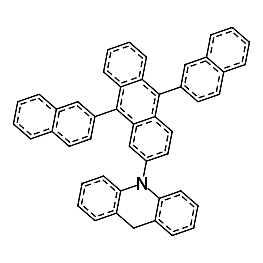 c1ccc2c(c1)Cc1ccccc1N2c1ccc2c(-c3ccc4ccccc4c3)c3ccccc3c(-c3ccc4ccccc4c3)c2c1